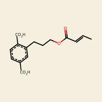 CC=CC(=O)OCCCc1cc(C(=O)O)ccc1C(=O)O